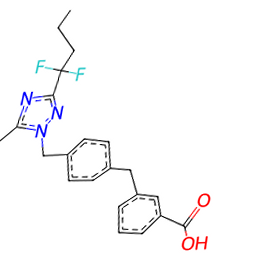 CCCC(F)(F)c1nc(CC)n(Cc2ccc(Cc3cccc(C(=O)O)c3)cc2)n1